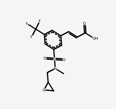 CN(CC1CO1)S(=O)(=O)c1cc(C=CC(=O)O)cc(C(F)(F)F)c1